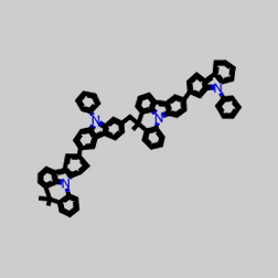 CC1(C)c2ccccc2-n2c3ccc(-c4ccc5c(c4)c4ccc(CC6(C)c7ccccc7-n7c8ccc(-c9ccc%10c%11ccccc%11n(-c%11ccccc%11)c%10c9)cc8c8cccc6c87)cc4n5-c4ccccc4)cc3c3cccc1c32